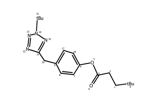 CC(C)(C)CCC(=O)Oc1ccc(Cc2nnn(C(C)(C)C)n2)cc1